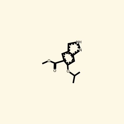 COC(=O)c1cc2c[nH]nc2cc1OC(C)C